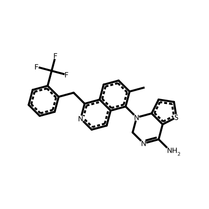 Cc1ccc2c(Cc3ccccc3C(F)(F)F)nccc2c1N1CN=C(N)c2sccc21